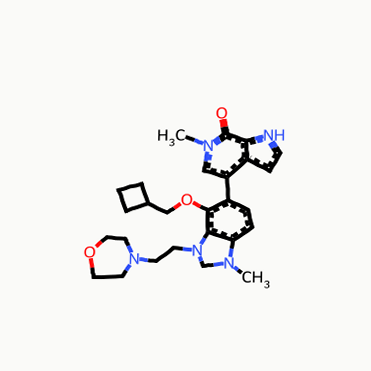 CN1CN(CCN2CCOCC2)c2c1ccc(-c1cn(C)c(=O)c3[nH]ccc13)c2OCC1CCC1